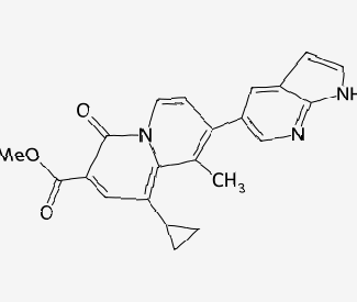 COC(=O)c1cc(C2CC2)c2c(C)c(-c3cnc4[nH]ccc4c3)ccn2c1=O